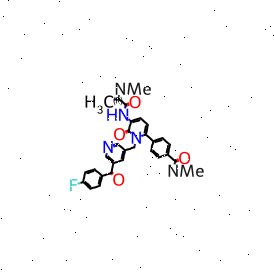 CNC(=O)c1ccc(-c2ccc(NC(=O)[C@@H](C)NC)c(=O)n2Cc2cncc(C(=O)c3ccc(F)cc3)c2)cc1